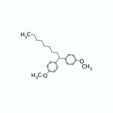 CCCCCCCCC(c1ccc(OC)cc1)c1ccc(OC)cc1